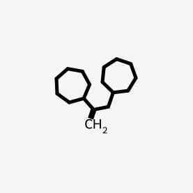 C=C(CC1CCCCCC1)C1CCCCCC1